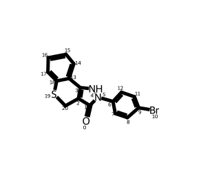 O=c1c2c([nH]n1-c1ccc(Br)cc1)-c1ccccc1SC2